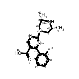 C[C@@H]1CN(c2ncc(C(=O)O)c(-c3ccccc3F)n2)C[C@H](C)N1